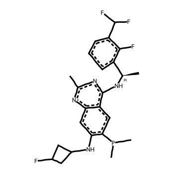 Cc1nc(N[C@H](C)c2cccc(C(F)F)c2F)c2cc(P(C)C)c(NC3CC(F)C3)cc2n1